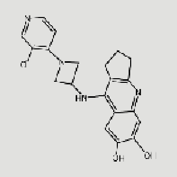 Oc1cc2nc3c(c(NC4CN(c5ccncc5Cl)C4)c2cc1O)CCC3